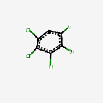 Clc1cc(Cl)c(Br)c(Cl)c1Cl